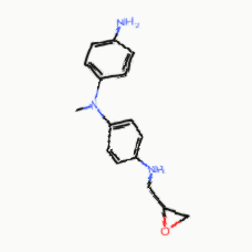 CN(c1ccc(N)cc1)c1ccc(NCC2CO2)cc1